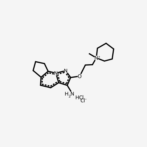 C[N+]1(CCOc2nn3c4c(ccc3c2N)CCC4)CCCCC1.Cl.[Cl-]